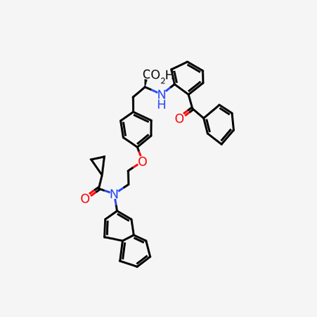 O=C(c1ccccc1)c1ccccc1N[C@@H](Cc1ccc(OCCN(C(=O)C2CC2)c2ccc3ccccc3c2)cc1)C(=O)O